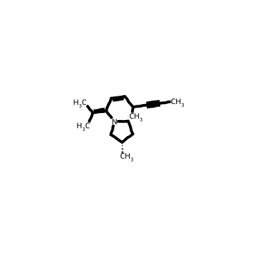 CC#CC(C)/C=C\C(=C(C)C)N1CC[C@H](C)C1